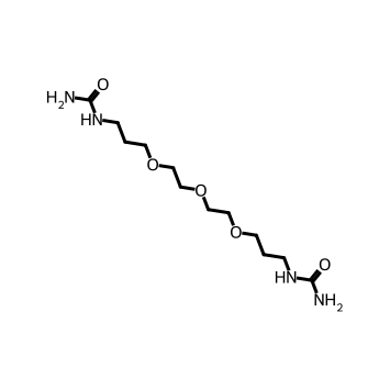 NC(=O)NCCCOCCOCCOCCCNC(N)=O